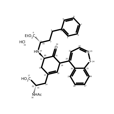 CCOC(=O)[C@H](CCc1ccccc1)N[C@@H]1CC(C[C@H](NC(C)=O)C(=O)O)=CC(C2=CC=NSc3ccccc32)C1=O.Cl